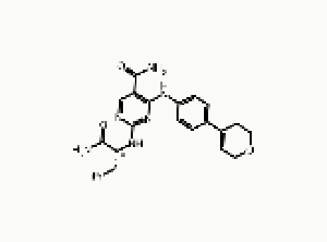 CC(C)C[C@@H](Nc1ncc(C(N)=O)c(Nc2ccc(C3=CCOCC3)cc2)n1)C(N)=O